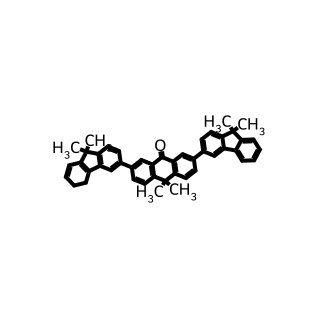 CC1(C)C2=C(CCC=C2)c2cc(-c3ccc4c(c3)C(=O)c3cc(-c5ccc6c(c5)-c5ccccc5C6(C)C)ccc3C4(C)C)ccc21